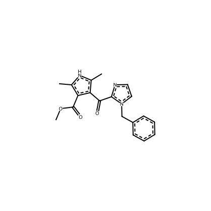 COC(=O)c1c(C)[nH]c(C)c1C(=O)c1nccn1Cc1ccccc1